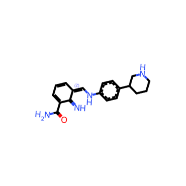 N=C1C(C(N)=O)=CC=C/C1=C/Nc1ccc(C2CCCNC2)cc1